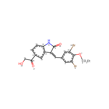 CCOC(=O)Oc1c(Br)cc(C=C2C(=O)Nc3ccc(C(=O)CO)cc32)cc1Br